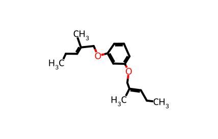 CCC=C(C)COc1cccc(OCC(C)=CCC)c1